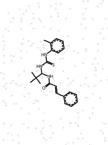 Cc1ccccc1NC(=S)NC(NC(=O)C=Cc1ccccc1)C(C)(C)C